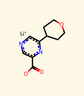 O=C([O-])c1cncc(C2CCOCC2)n1.[Li+]